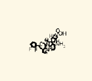 Nc1ccnc2c1C1(C[C@H]3CN(C(=O)O)C[C@H]3C1)C(=O)N2C1CCC(c2cccc(F)c2F)Cc2cccnc21